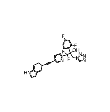 OC(Cn1cnnn1)(c1ccc(F)cc1F)C(F)(F)c1ccc(C#CC2C=c3cc[nH]c3=CC2)cn1